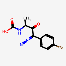 CC(NC(=O)O)C(=O)C(=[N+]=[N-])c1ccc(Br)cc1